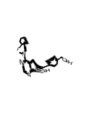 CN(Cc1ccccc1F)c1ncnc2[nH]c(-c3ccc(CO)cc3)cc12